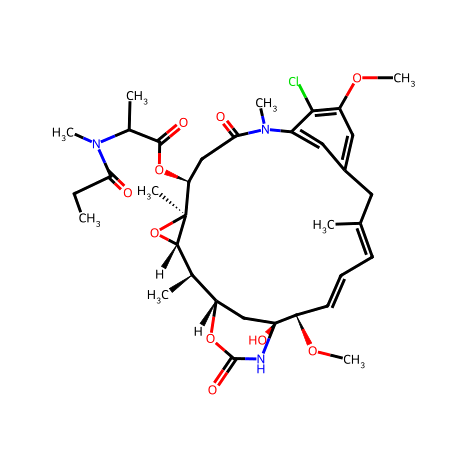 CCC(=O)N(C)C(C)C(=O)O[C@H]1CC(=O)N(C)c2cc(cc(OC)c2Cl)C/C(C)=C/C=C/[C@@H](OC)[C@@]2(O)C[C@H](OC(=O)N2)[C@@H](C)[C@@H]2O[C@@]12C